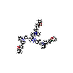 c1cc(-c2ccc3nc(-c4ccc5cc(-n6c7ccccc7c7cc(-c8ccc9c(c8)oc8ccccc89)ccc76)ccc5c4)nc(-c4cccc(-n5c6ccccc6c6cc(-c7ccc8c(c7)oc7ccccc78)ccc65)c4)c3c2)cc(-n2c3ccccc3c3cc(-c4ccc5c(c4)oc4ccccc45)ccc32)c1